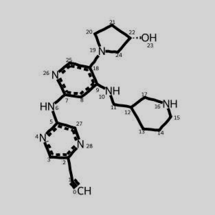 C#Cc1cnc(Nc2cc(NCC3CCCNC3)c(N3CC[C@H](O)C3)cn2)cn1